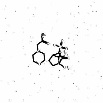 CC(C)(C)C(=O)C[S+]1CCOCC1.CC12CCC(C(S(=O)(=O)[O-])C1=O)C2(C)C